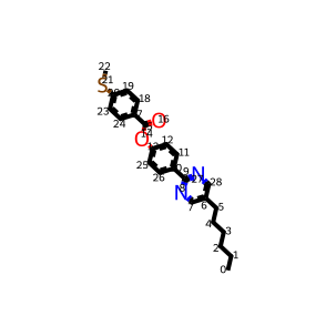 CCCCCCc1cnc(-c2ccc(OC(=O)c3ccc(SC)cc3)cc2)nc1